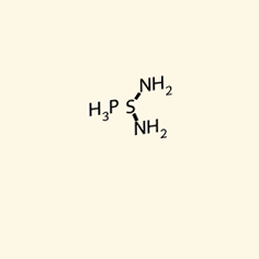 NSN.P